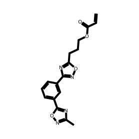 C=CC(=O)OCCCc1nc(-c2cccc(-c3nc(C)no3)c2)no1